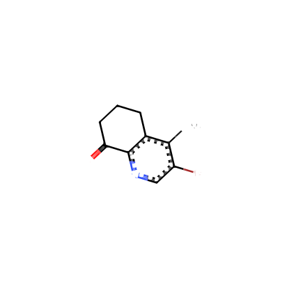 COc1c(Br)cnc2c1CCCC2=O